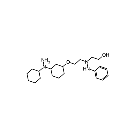 NN(C1CCCCC1)C1CCCC(OCCN(CCO)Nc2ccccc2)C1